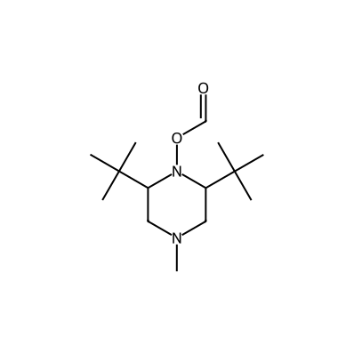 CN1CC(C(C)(C)C)N(OC=O)C(C(C)(C)C)C1